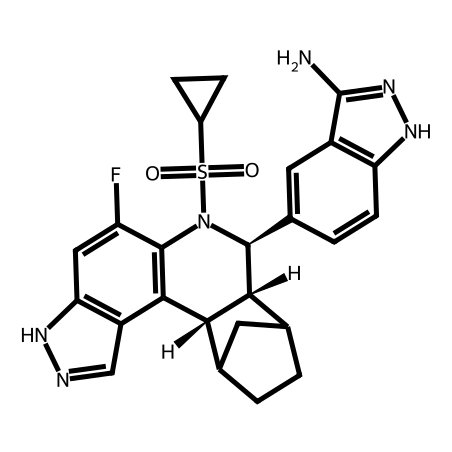 Nc1n[nH]c2ccc([C@H]3[C@@H]4C5CCC(C5)[C@@H]4c4c(c(F)cc5[nH]ncc45)N3S(=O)(=O)C3CC3)cc12